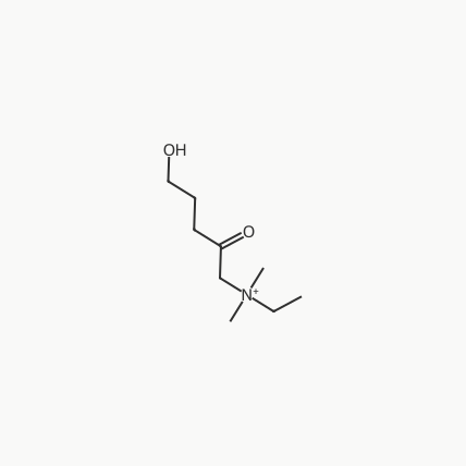 CC[N+](C)(C)CC(=O)CCCO